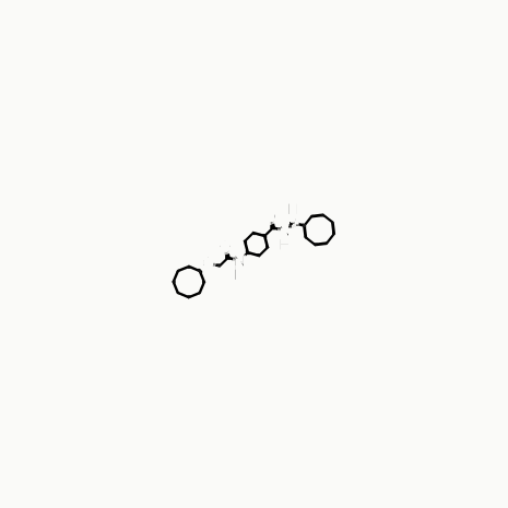 O=C(COC1CCCCCCC1)NC1CCC(C(=O)NBC2CCCCCCC2)CC1